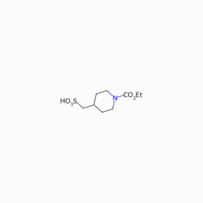 CCOC(=O)N1CCC(CS(=O)(=O)O)CC1